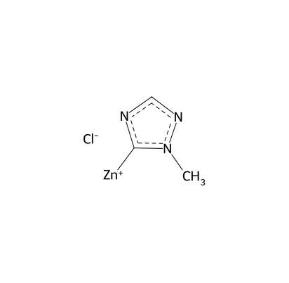 Cn1ncn[c]1[Zn+].[Cl-]